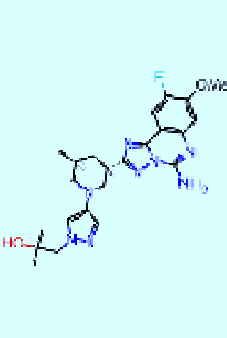 COc1cc2nc(N)n3nc([C@H]4C[C@H](C)CN(c5cnn(CC(C)(C)O)c5)C4)nc3c2cc1F